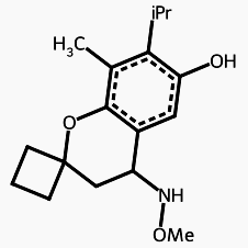 CONC1CC2(CCC2)Oc2c1cc(O)c(C(C)C)c2C